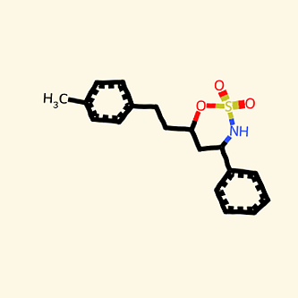 Cc1ccc(CCC2CC(c3ccccc3)NS(=O)(=O)O2)cc1